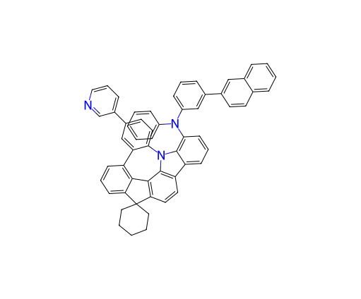 c1ccc(N(c2cccc(-c3ccc4ccccc4c3)c2)c2cccc3c4ccc5c6c4n(c23)-c2ccc(-c3cccnc3)cc2-c2cccc(c2-6)C52CCCCC2)cc1